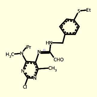 CCSc1ccc(CN/C(C=O)=N/c2c(C)nc(Cl)nc2N(C)C(C)C)cc1